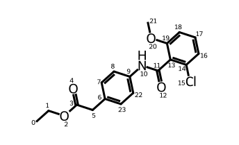 CCOC(=O)Cc1ccc(NC(=O)c2c(Cl)cccc2OC)cc1